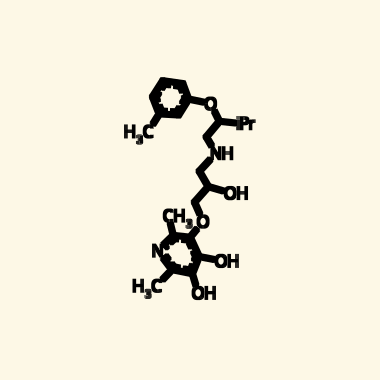 Cc1cccc(OC(CNCC(O)COc2c(C)nc(C)c(O)c2O)C(C)C)c1